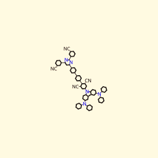 N#Cc1cccc(-c2cc(-c3ccc(-c4ccc(-c5c(C#N)cc(-n6c7ccc(N(c8ccccc8)c8ccccc8)cc7c7cc(N(c8ccccc8)c8ccccc8)ccc76)cc5C#N)cc4)cc3)nc(-c3cccc(C#N)c3)n2)c1